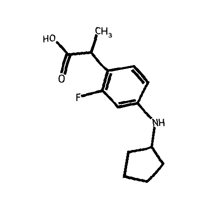 CC(C(=O)O)c1ccc(NC2CCCC2)cc1F